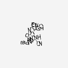 CCC([AsH]c1c(C#N)cnc2c(Cl)cc(NC(c3cccnc3)c3cn(C(C)(C)C)nn3)cc12)c1ccccc1